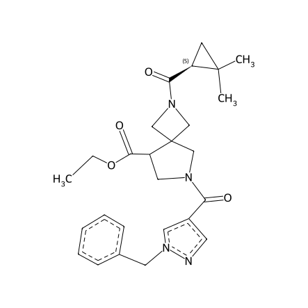 CCOC(=O)C1CN(C(=O)c2cnn(Cc3ccccc3)c2)CC12CN(C(=O)[C@H]1CC1(C)C)C2